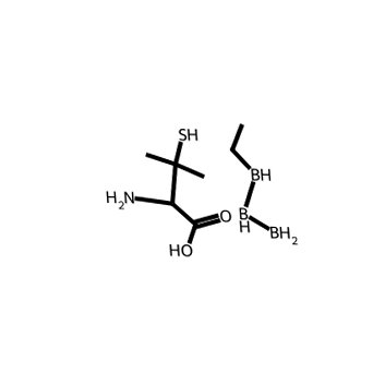 BBBCC.CC(C)(S)C(N)C(=O)O